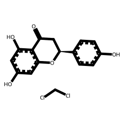 ClCCl.O=C1C[C@@H](c2ccc(O)cc2)Oc2cc(O)cc(O)c21